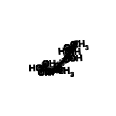 COc1ccc2c(c1)C(=O)NC(c1ccc(OCCCCCCOc3cc(C4=NOC(c5cc(CO)c(CO)c(CO)c5)C4)ccc3OC)c(CO)c1)N2